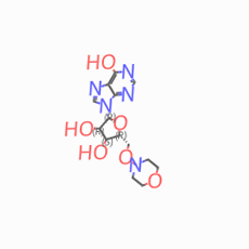 Oc1ncnc2c1ncn2[C@@H]1O[C@H](CON2CCOCC2)[C@@H](O)[C@H]1O